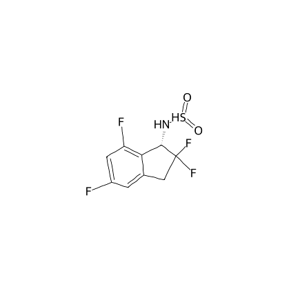 O=[SH](=O)N[C@H]1c2c(F)cc(F)cc2CC1(F)F